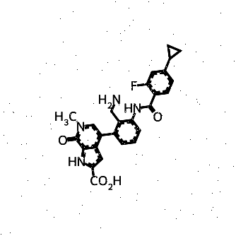 Cn1cc(-c2cccc(NC(=O)c3ccc(C4CC4)cc3F)c2CN)c2cc(C(=O)O)[nH]c2c1=O